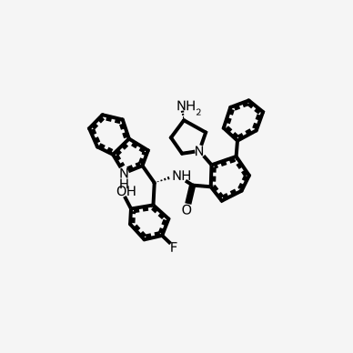 N[C@H]1CCN(c2c(C(=O)N[C@@H](c3cc4ccccc4[nH]3)c3cc(F)ccc3O)cccc2-c2ccccc2)C1